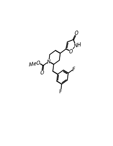 COC(=O)N1CCC(c2cc(=O)[nH]o2)CC1Cc1cc(F)cc(F)c1